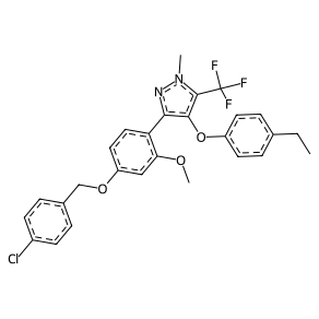 CCc1ccc(Oc2c(-c3ccc(OCc4ccc(Cl)cc4)cc3OC)nn(C)c2C(F)(F)F)cc1